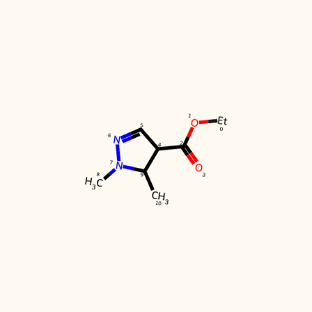 CCOC(=O)C1C=NN(C)C1C